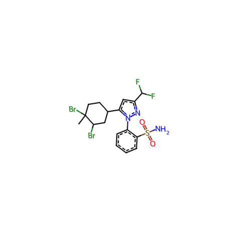 CC1(Br)CCC(c2cc(C(F)F)nn2-c2ccccc2S(N)(=O)=O)CC1Br